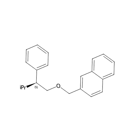 CC(C)[C@H](COCc1ccc2ccccc2c1)c1ccccc1